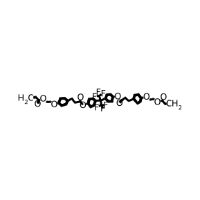 C=CC(=O)OCCOc1ccc(CCC(=O)Oc2ccc(C(c3ccc(OC(=O)CCc4ccc(OCCOC(=O)C=C)cc4)cc3)(C(F)(F)F)C(F)(F)F)cc2)cc1